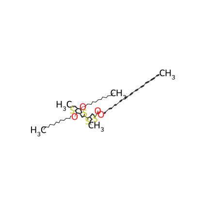 CC#CC#CC#CC#CC#CC#CC#CC#CC#CC#CC#COC(=O)c1cc2c(-c3cc4c(OCCCCCCCCCCCC)c5sc(C)cc5c(OCCCCCCCCCCCC)c4s3)sc(C)c2s1